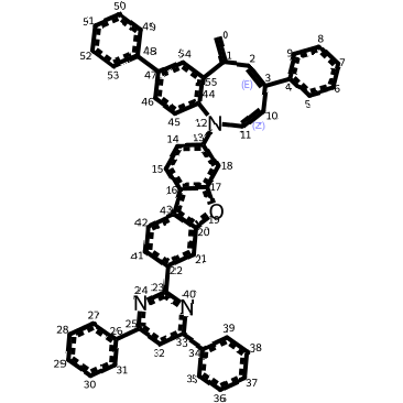 C=C1/C=C(c2ccccc2)\C=C/N(c2ccc3c(c2)oc2cc(-c4nc(-c5ccccc5)cc(-c5ccccc5)n4)ccc23)c2ccc(-c3ccccc3)cc21